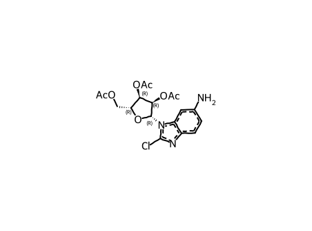 CC(=O)OC[C@H]1O[C@@H](n2c(Cl)nc3ccc(N)cc32)[C@H](OC(C)=O)[C@@H]1OC(C)=O